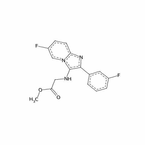 COC(=O)CNc1c(-c2cccc(F)c2)nc2ccc(F)cn12